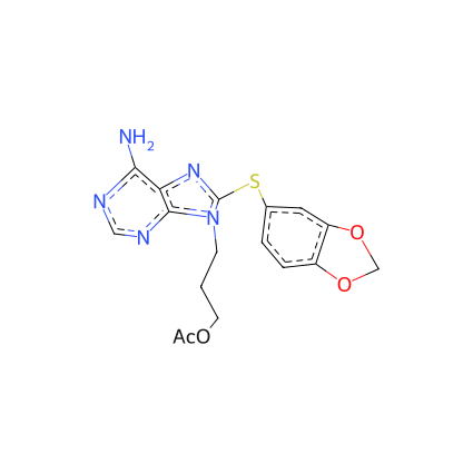 CC(=O)OCCCn1c(Sc2ccc3c(c2)OCO3)nc2c(N)ncnc21